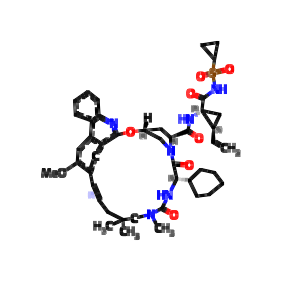 C=C[C@@H]1C[C@]1(NC(=O)[C@@H]1C[C@@H]2CN1C(=O)[C@H](C1CCCCC1)NC(=O)N(C)CC(C)(C)C/C=C\c1cc3c(nc4ccccc4c3cc1OC)O2)C(=O)NS(=O)(=O)C1CC1